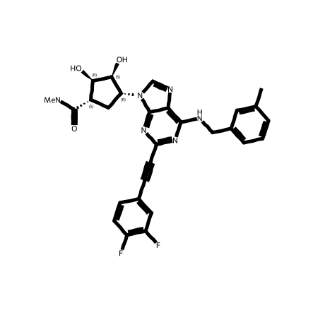 CNC(=O)[C@H]1C[C@@H](n2cnc3c(NCc4cccc(C)c4)nc(C#Cc4ccc(F)c(F)c4)nc32)[C@H](O)[C@@H]1O